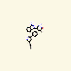 CC#Cc1cncc(-c2cccc([C@@]3(c4cc(C)c(=O)n(C)c4)N=C(N)c4c(F)cccc43)c2)c1